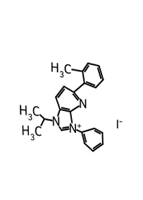 Cc1ccccc1-c1ccc2c(n1)[n+](-c1ccccc1)cn2C(C)C.[I-]